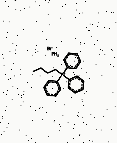 CCCC[P+](c1ccccc1)(c1ccccc1)c1ccccc1.P.[Br-]